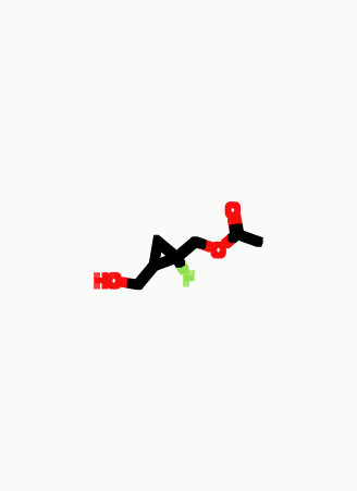 CC(=O)OCC1(F)CC1CO